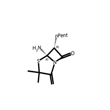 C=C1N2C(=O)[C@@H](CCCCC)[C@]2(N)SC1(C)C